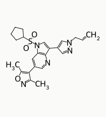 C=CCn1cc(-c2cn(S(=O)(=O)C3CCCC3)c3cc(-c4c(C)noc4C)cnc23)cn1